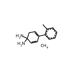 C.Cc1ccccc1C1=CCC(N)(N)C=C1